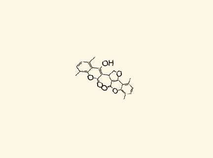 Cc1ccc(C)c2c(O)c(C3COc4c3c(=O)oc3c(C)ccc(C)c43)c(=O)oc12